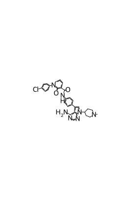 CN1CCC(n2cc(-c3ccc(NC(=O)c4cccn(-c5ccc(Cl)cc5)c4=O)cc3)c3c(N)ncnc32)CC1